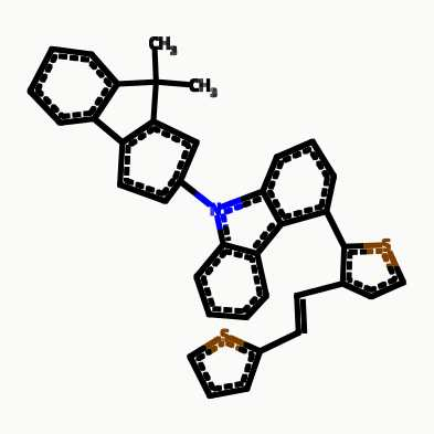 CC1(C)c2ccccc2-c2ccc(-n3c4ccccc4c4c(-c5sccc5C=Cc5cccs5)cccc43)cc21